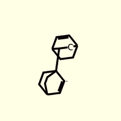 [C]1=CC2CCC1(C1CC3C=CC1CC3)CC2